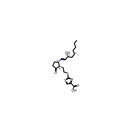 CCCC[C@H](C)C[C@H](O)/C=C/[C@@H]1CCC(=O)[C@@H]1CCSc1nc(C(=O)O)cs1